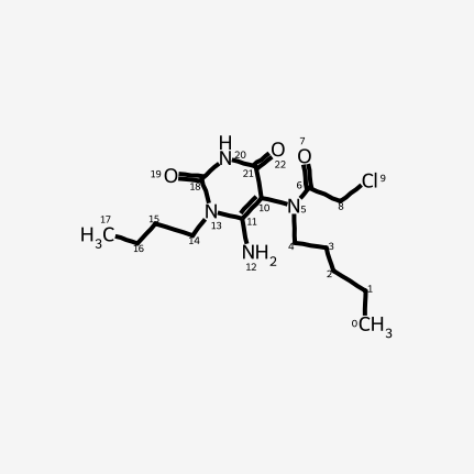 CCCCCN(C(=O)CCl)c1c(N)n(CCCC)c(=O)[nH]c1=O